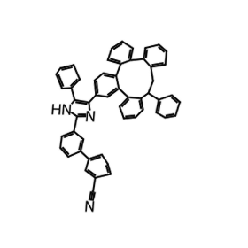 N#Cc1cccc(-c2cccc(-c3nc(-c4ccc5c(c4)-c4ccccc4C(c4ccccc4)Cc4ccccc4-c4ccccc4-5)c(-c4ccccc4)[nH]3)c2)c1